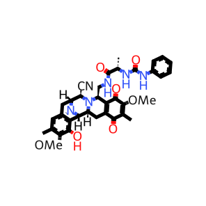 COC1=C(C)C(=O)C2=C(C1=O)[C@H](CNC(=O)[C@H](C)NC(=O)Nc1ccccc1)N1[C@@H](C#N)[C@H]3Cc4cc(C)c(OC)c(O)c4[C@@H]([C@@H]1C2)N3C